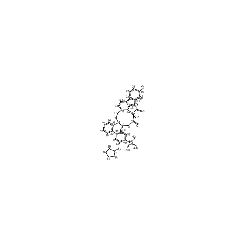 C=C/C1=N/C(=C)CC2C(CCc3ccc4c(oc5nc(C)ccc54)c31)c1ccccc1-c1cc(CC3CCCC3)c([Si](C)(C)C)c[n+]12